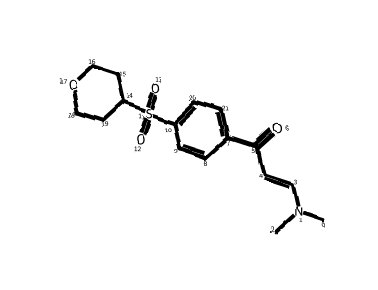 CN(C)/C=C/C(=O)c1ccc(S(=O)(=O)C2CCOCC2)cc1